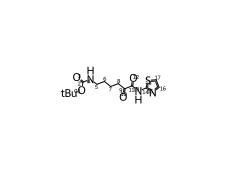 CC(C)(C)OC(=O)NCCCCC(=O)C(=O)Nc1nccs1